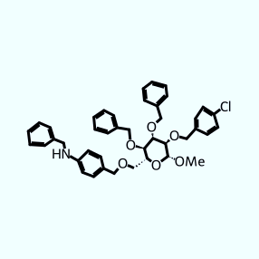 CO[C@@H]1O[C@H](COCc2ccc(NCc3ccccc3)cc2)[C@@H](OCc2ccccc2)[C@H](OCc2ccccc2)[C@H]1OCc1ccc(Cl)cc1